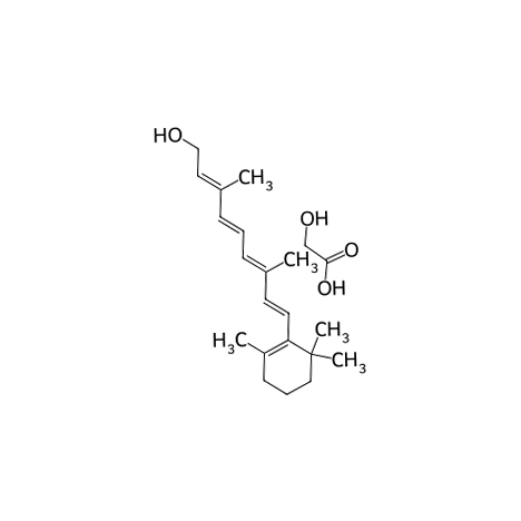 CC1=C(/C=C/C(C)=C/C=C/C(C)=C/CO)C(C)(C)CCC1.O=C(O)CO